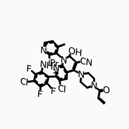 C=CC(=O)N1CCN(C2=C(C#N)C(O)N(c3c(C)ccnc3C(C)C)c3nc(-c4c(N)c(F)c(Cl)c(F)c4F)c(Cl)cc32)CC1